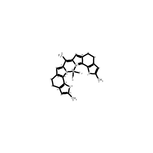 Cc1cc2c(s1)C1=[N+]3C(=C(C(F)(F)F)c4cc5c(n4[B-]3(F)F)-c3sc(C)cc3CC5)C=C1CC2